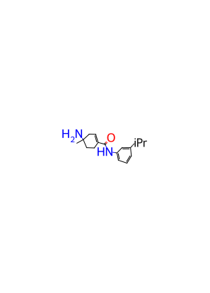 CC(C)c1cccc(NC(=O)C2=CCC(C)(N)CC2)c1